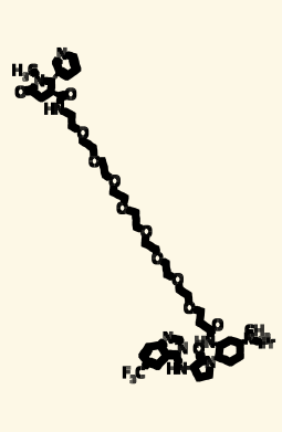 CC(C)N(C)[C@@H]1CC[C@H](N2CC[C@H](Nc3ncnc4ccc(C(F)(F)F)cc34)C2=O)[C@H](NC(=O)CCOCCOCCOCCOCCOCCOCCOCCOCCNC(=O)[C@H]2CC(=O)N(C)[C@@H]2c2cccnc2)C1